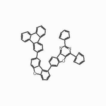 c1ccc(-c2nc(-c3ccccc3)c3oc4cc(-c5cccc6oc7ccc(-c8ccc9c%10ccccc%10c%10ccccc%10c9c8)cc7c56)ccc4c3n2)cc1